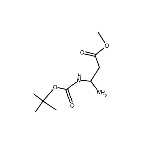 COC(=O)CC(N)NC(=O)OC(C)(C)C